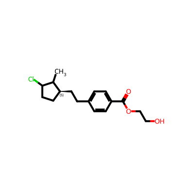 CC1C(Cl)CC[C@@H]1CCc1ccc(C(=O)OCCO)cc1